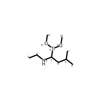 CCN[CH](CC(C)C)[Ti]([O]C)[O]C